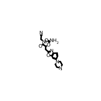 CN1CCN(c2ccc3nc(CC(OC(N)=O)C(=O)NCC#N)oc3c2)CC1